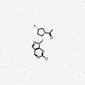 CC(=O)N1C[C@@H](F)C[C@H]1Cn1ncc2cnc(Cl)nc21